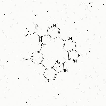 CC(C)C(=O)Nc1cncc(-c2cc3c(-c4nc5c(-c6cc(O)cc(F)c6)cncc5[nH]4)n[nH]c3cn2)c1